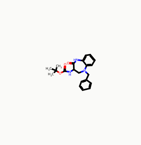 CC(C)(C)OC(=O)NC1CN(Cc2ccccc2)c2ccccc2NC1=O